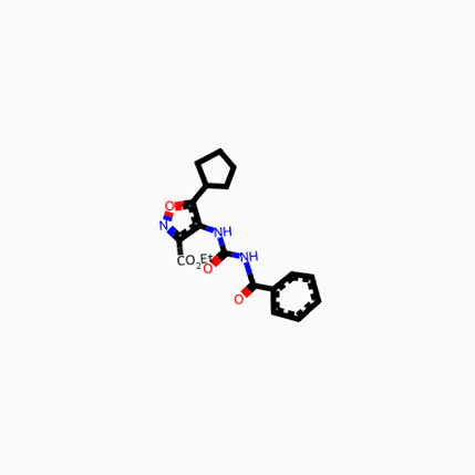 CCOC(=O)c1noc(C2CCCC2)c1NC(=O)NC(=O)c1ccccc1